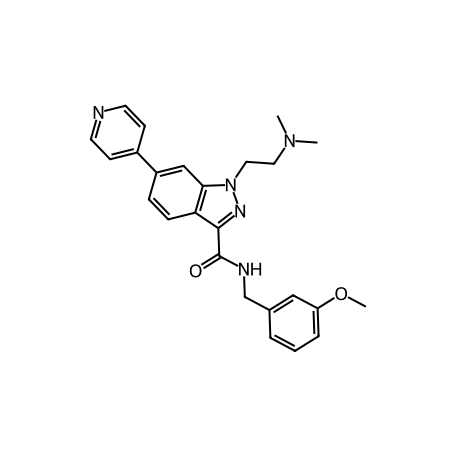 COc1cccc(CNC(=O)c2nn(CCN(C)C)c3cc(-c4ccncc4)ccc23)c1